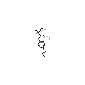 CCSc1ccc(C[C@@H](N)C(=O)O)cc1